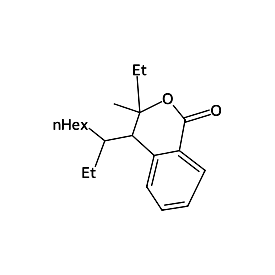 CCCCCCC(CC)C1c2ccccc2C(=O)OC1(C)CC